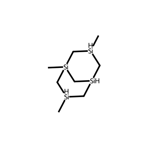 C[SiH]1C[SiH]2C[SiH](C)C[Si](C)(C1)C2